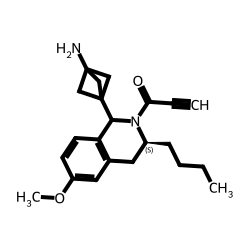 C#CC(=O)N1C(C23CC(N)(C2)C3)c2ccc(OC)cc2C[C@@H]1CCCC